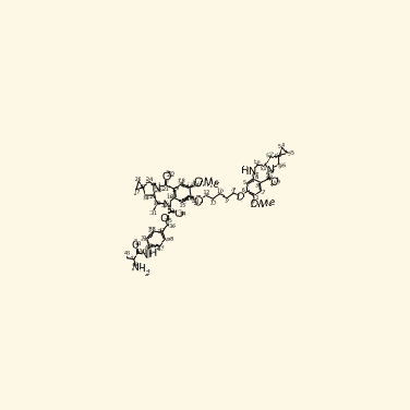 COc1cc2c(cc1OCCCCCOc1cc3c(cc1OC)C(=O)N1CC4(CC4)CC1[C@H](C)N3C(=O)OCc1ccc(NC(=O)[C@H](C)N)cc1)NCC1CC3(CC3)CN1C2=O